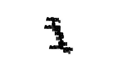 CC(=O)N[C@H](COCC[C@@H](C)OC(C)=O)COP(=O)(O)OCCNC(=O)CC(=O)NCCOP(=O)(O)OC[C@H](COCC[C@@H](C)OC(C)=O)NC(C)=O